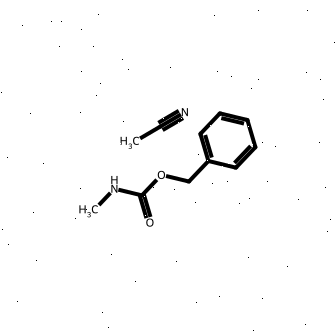 CC#N.CNC(=O)OCc1ccccc1